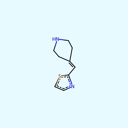 C(=C1CCNCC1)c1nccs1